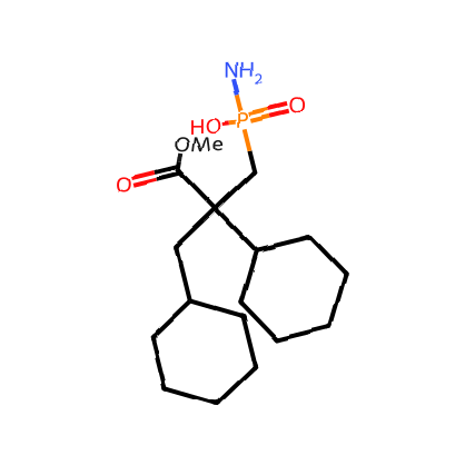 COC(=O)C(CC1CCCCC1)(CP(N)(=O)O)C1CCCCC1